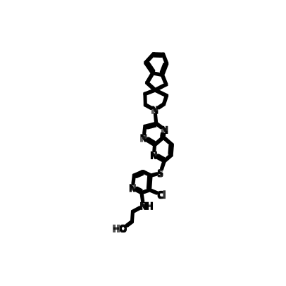 OCCNc1nccc(Sc2ccc3nc(N4CCC5(CC4)Cc4ccccc4C5)cnc3n2)c1Cl